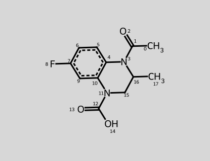 CC(=O)N1c2ccc(F)cc2N(C(=O)O)CC1C